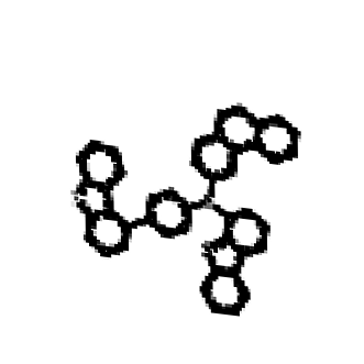 c1ccc2c(c1)ccc1ccc(N(c3ccc(-c4cccc5sc6ccccc6c45)cc3)c3cccc4c3sc3ccccc34)cc12